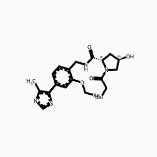 CC(=O)COc1cc(-c2scnc2C)ccc1CNC(=O)[C@@H]1C[C@@H](O)CN1C(=O)CC(C)(C)C